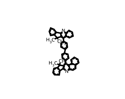 CC1(C)c2ccccc2-c2nc3ccccc3c(-c3ccc(-c4ccc(-c5c6c(nc7ccc8ccccc8c57)-c5ccccc5C6(C)C)cc4)cc3)c21